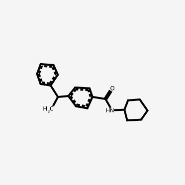 CC(c1ccccc1)c1ccc(C(=O)NC2CCCCC2)cc1